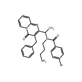 CC(c1nc2ccccn2c(=O)c1Cc1ccccc1)N(CCCN)C(=O)c1ccc(Br)cc1